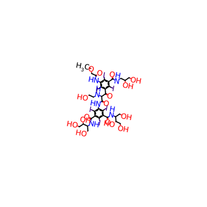 COCC(=O)Nc1c(I)c(C(=O)NCC(O)CO)c(I)c(C(=O)C(NCCO)C(=O)Nc2c(I)c(C(=O)NC(CO)C(O)CO)c(I)c(C(=O)NC(CO)C(O)CO)c2I)c1I